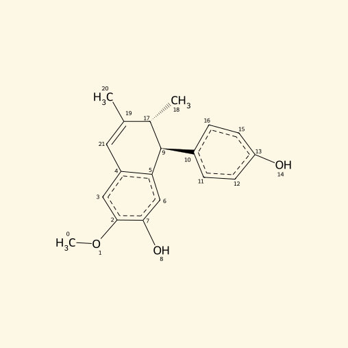 COc1cc2c(cc1O)[C@H](c1ccc(O)cc1)[C@@H](C)C(C)=C2